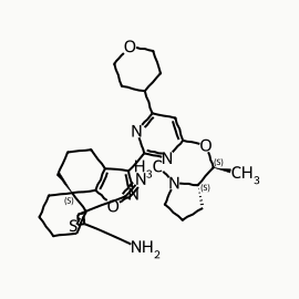 C[C@H](Oc1cc(C2CCOCC2)nc(-c2noc3c2CCC[C@@]32CCCc3sc(N)c(C#N)c32)n1)[C@@H]1CCCN1C